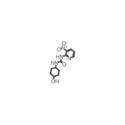 O=C(Nc1ncccc1[N+](=O)[O-])NC1CCC(O)CC1